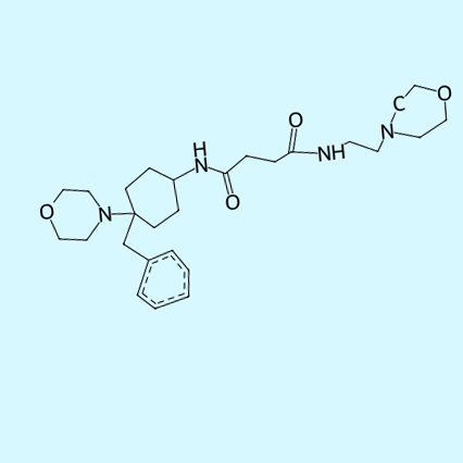 O=C(CCC(=O)NC1CCC(Cc2ccccc2)(N2CCOCC2)CC1)NCCN1CCOCC1